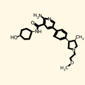 COCCN1C[C@@H](C)[C@H](c2ccc(-c3cnc(N)c(C(=O)N[C@H]4CC[C@H](O)CC4)c3)cc2)C1